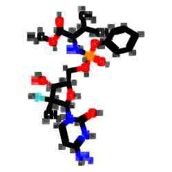 COC(=O)[C@@H](NP(=O)(OC[C@H]1O[C@@H](n2ccc(N)nc2=O)[C@](C)(F)[C@@H]1O)Oc1ccccc1)C(C)C